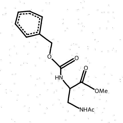 COC(=O)C(CNC(C)=O)NC(=O)OCc1ccccc1